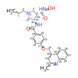 C=CCN1C[C@H](C(=O)NO)[C@H](NC(=O)c2ccc(OCc3cc(C)nc4ccccc34)cc2)C1